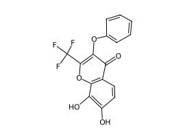 O=c1c(Oc2ccccc2)c(C(F)(F)F)oc2c(O)c(O)ccc12